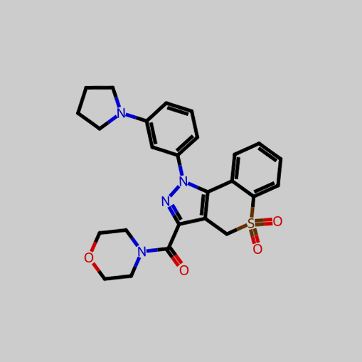 O=C(c1nn(-c2cccc(N3CCCC3)c2)c2c1CS(=O)(=O)c1ccccc1-2)N1CCOCC1